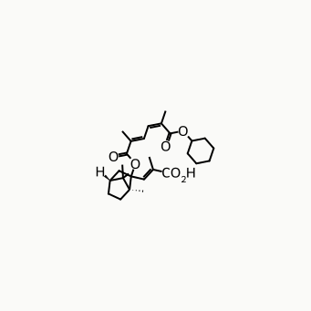 CC(=CC1(OC(=O)C(C)=CC=C(C)C(=O)OC2CCCCC2)C[C@H]2CC[C@@]1(C)C2(C)C)C(=O)O